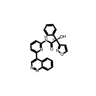 O=C(Nc1cccc(-c2cnnc3ccccc23)n1)[C@](O)(c1ccccc1)c1ccon1